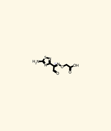 Nc1nc(/C([C]=O)=N/OCC(=O)O)ns1